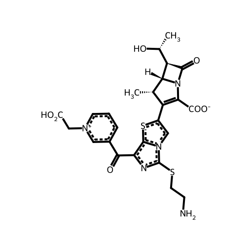 C[C@@H](O)[C@H]1C(=O)N2C(C(=O)[O-])=C(c3cn4c(SCCN)nc(C(=O)c5ccc[n+](CC(=O)O)c5)c4s3)[C@H](C)[C@H]12